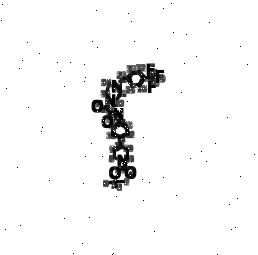 CC(C)(C)OC(=O)N1CC=C(c2ccc3nc(C(=O)N4CCN(Cc5ccc(C(F)(F)F)cc5)CC4)oc3c2)CC1